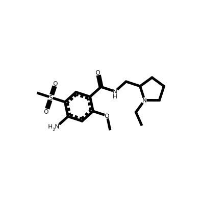 CCN1CCCC1CNC(=O)c1cc(S(C)(=O)=O)c(N)cc1OC